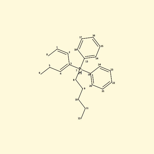 C/C=C\C(=C/CC)[PH](CCCCC)(c1ccccc1)c1ccccc1